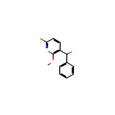 COc1nc(Cl)ccc1C(O)c1ccccc1